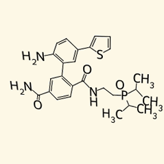 CC(C)P(=O)(CCNC(=O)c1ccc(C(N)=O)cc1-c1cc(-c2cccs2)ccc1N)C(C)C